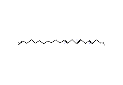 CC/C=C/C/C=C/C/C=C/CCCCCCCCCC=O